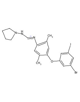 Cc1cc(Oc2cc(Br)cc(I)c2)c(C)cc1/N=C/NN1CCCC1